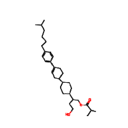 CC(C)CCCCc1ccc(C2=CCC(C3CCC(C(CCO)COC(=O)C(C)C)CC3)CC2)cc1